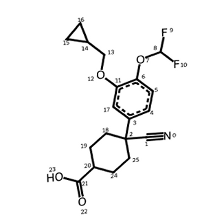 N#CC1(c2ccc(OC(F)F)c(OCC3CC3)c2)CCC(C(=O)O)CC1